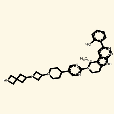 C[C@@H]1c2c([nH]c3nnc(-c4ccccc4O)cc23)CCN1c1ncc(C2CCN(C3CN(C4CC5(CNC5)C4)C3)CC2)cn1